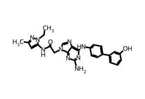 CCn1nc(C)cc1NC(=O)Cn1cnc2c(Nc3ccc(-c4cccc(O)c4)cc3)nc(N)nc21